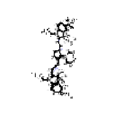 CCN1/C(=C/C=C2\CCC(/C=C/C3=[N+](CC)c4ccc(C)cc4C3(C)C)=C2N2CCOCC2)C(C)(C)c2cc(S(=O)(=O)[O-])ccc21